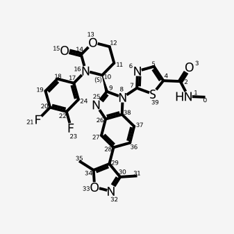 CNC(=O)c1cnc(-n2c([C@@H]3CCOC(=O)N3c3ccc(F)c(F)c3)nc3cc(-c4c(C)noc4C)ccc32)s1